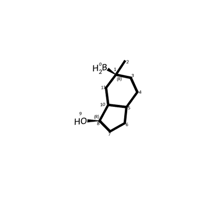 B[C@@]1(C)CCC2CC[C@@H](O)C2C1